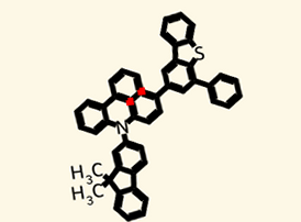 CC1(C)c2ccccc2-c2ccc(N(c3ccc(-c4cc(-c5ccccc5)c5sc6ccccc6c5c4)cc3)c3ccccc3-c3ccccc3)cc21